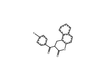 O=C1Oc2ccc3ccccc3c2CC1C(=O)c1ccc(F)cc1